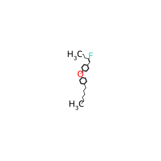 CCCCCCc1ccc(Oc2ccc(/C=C(/F)CCC)cc2)cc1